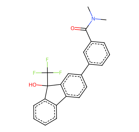 CN(C)C(=O)c1cccc(-c2ccc3c(c2)C(O)(C(F)(F)F)c2ccccc2-3)c1